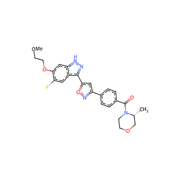 COCCOc1cc2[nH]nc(-c3cc(-c4ccc(C(=O)N5CCOC[C@H]5C)cc4)no3)c2cc1F